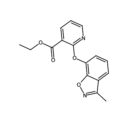 CCOC(=O)c1cccnc1Oc1cccc2c(C)noc12